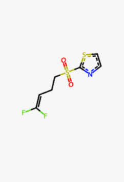 O=S(=O)(CCC=C(F)F)c1nccs1